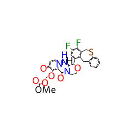 COC(=O)OCOc1c2n(ccc1=O)N[C@@H]1C(c3cc(F)c(F)c4c3Cc3ccccc3SC4)OCCN1C2=O